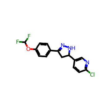 FC(F)Oc1ccc(C2=NNC(c3ccc(Cl)nc3)C2)cc1